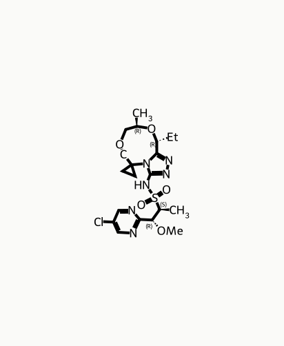 CC[C@H]1O[C@H](C)COCC2(CC2)n2c(NS(=O)(=O)[C@@H](C)[C@H](OC)c3ncc(Cl)cn3)nnc21